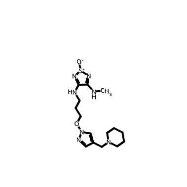 CNc1n[s+]([O-])nc1NCCCOn1cc(CN2CCCCC2)cn1